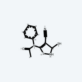 CC(=O)N(C1=C(C#N)C(S)NS1)c1ccccc1